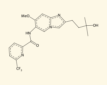 COc1cc2nc(CCC(C)(C)O)cn2cc1NC(=O)c1cccc(C(F)(F)F)n1